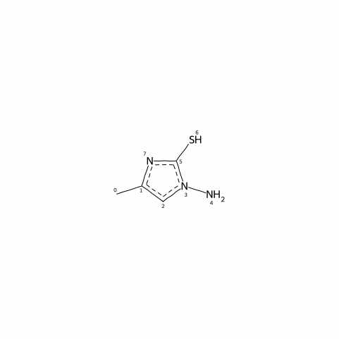 Cc1cn(N)c(S)n1